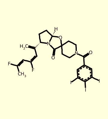 C=C(/C=C(F)\C=C(/C)F)[C@@H]1CC[C@H]2OC3(CCN(C(=O)c4cc(I)c(I)c(I)c4)CC3)C(=O)N21